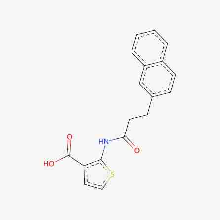 O=C(CCc1ccc2ccccc2c1)Nc1sccc1C(=O)O